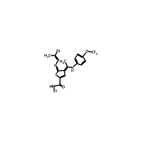 CCNC(=O)C1=CC(=C(/C)Nc2ccc(OC(F)(F)F)cc2)/C(=N\C=C(/C)CC)S1